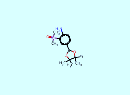 CCC1(C)OB(c2ccc(N)c(P(C)(C)=O)c2)OC1(C)C